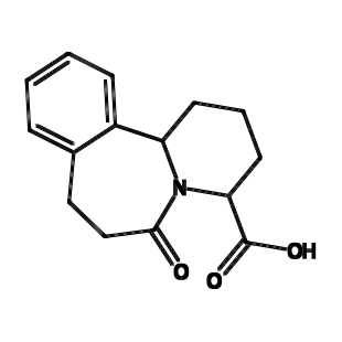 O=C(O)C1CCCC2c3ccccc3CCC(=O)N12